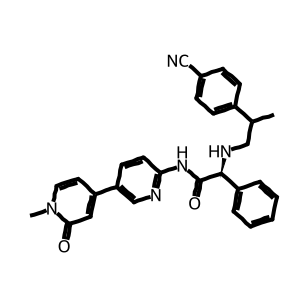 CC(CN[C@H](C(=O)Nc1ccc(-c2ccn(C)c(=O)c2)cn1)c1ccccc1)c1ccc(C#N)cc1